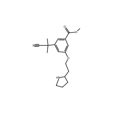 COC(=O)c1cc(OCCC2CCCN2)cc(C(C)(C)C#N)c1